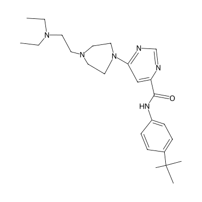 CCN(CC)CCN1CCN(c2cc(C(=O)Nc3ccc(C(C)(C)C)cc3)ncn2)CC1